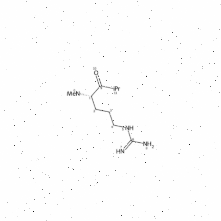 CN[C@@H](CCCNC(=N)N)C(=O)C(C)C